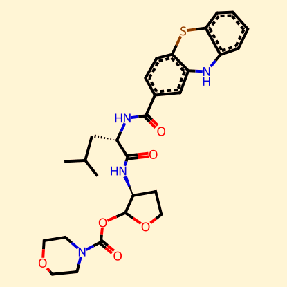 CC(C)C[C@H](NC(=O)c1ccc2c(c1)Nc1ccccc1S2)C(=O)N[C@H]1CCOC1OC(=O)N1CCOCC1